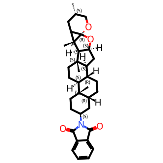 C[C@@H]1CO[C@]23O[C@H]4C[C@H]5[C@@H]6CC[C@@H]7C[C@@H](N8C(=O)c9ccccc9C8=O)CC[C@]7(C)[C@H]6CC[C@]5(C)[C@H]4[C@]2(C)C3C1